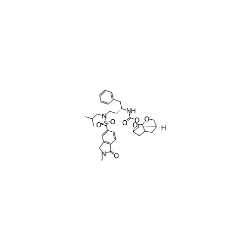 CC(C)CN(CC[C@H](Cc1ccccc1)NC(=O)OC1C2CC3C[C@@H]1COC3O2)S(=O)(=O)c1ccc2c(c1)CN(C)C2=O